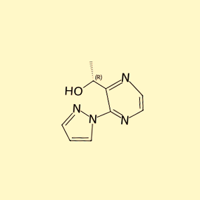 C[C@@H](O)c1nccnc1-n1cccn1